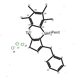 CCCCC[SiH](C1=[C]([Ti+3])CC=C1Cc1ccccc1)c1c(C)c(C)c(C)c(C)c1C.[Cl-].[Cl-].[Cl-]